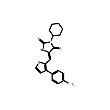 Cc1ccc(-c2ccsc2C=C2NC(=S)N(C3CCCCC3)C2=O)cc1